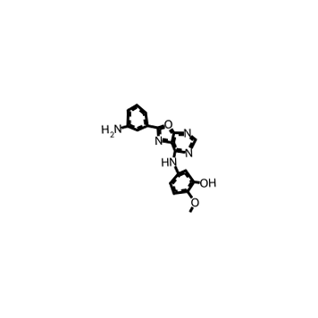 COc1ccc(Nc2ncnc3oc(-c4cccc(N)c4)nc23)cc1O